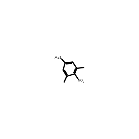 CSc1cc(C)c([N+](=O)[O-])c(C)c1